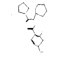 NC1C=CC(C(=O)N[C@H](C(=O)N2CCC[C@H]2C=O)C2CCCCC2)=C(Cl)C1